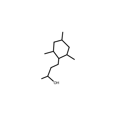 CC(O)CCC1C(C)CC(C)CC1C